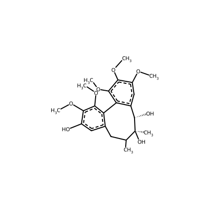 COc1cc2c(c(OC)c1OC)-c1c(cc(O)c(OC)c1OC)CC(C)[C@](C)(O)[C@H]2O